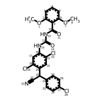 COc1cccc(OC)c1C(=O)NC(=O)Nc1cc(Cl)c(C(C#N)c2ccc(Cl)cc2)cc1Cl